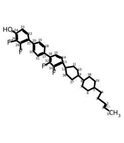 C/C=C/CCC1CCC(C2CCC(c3ccc(-c4ccc(-c5ccc(O)c(F)c5F)cc4)c(F)c3F)CC2)CC1